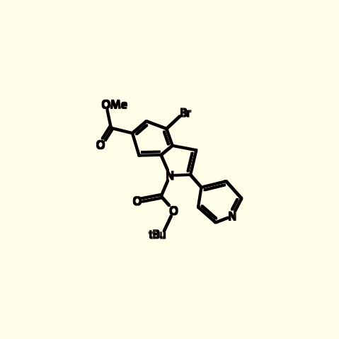 COC(=O)c1cc(Br)c2cc(-c3ccncc3)n(C(=O)OC(C)(C)C)c2c1